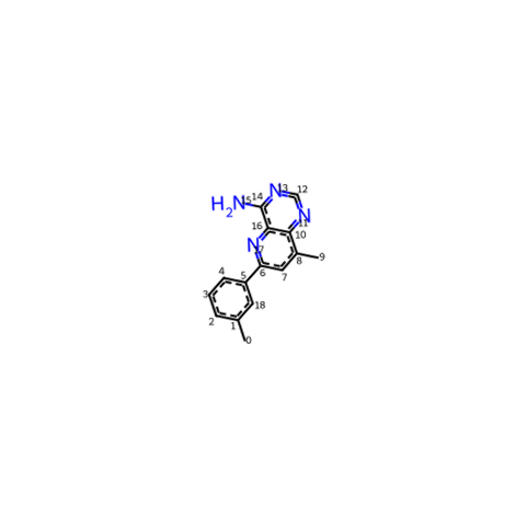 Cc1cccc(-c2cc(C)c3ncnc(N)c3n2)c1